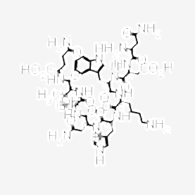 CC[C@H](C)[C@H](NC(=O)[C@H](CC(N)=O)NC(=O)[C@H](Cc1c[nH]cn1)NC(=O)[C@H](CCCCN)NC(=O)[C@H](Cc1c[nH]c2ccccc12)NC(=O)[C@H](CC(=O)O)NC(=O)[C@@H](N)CC(N)=O)C(=O)N[C@H](C(=O)N[C@@H](CCC(N)=O)C(=O)O)[C@@H](C)O